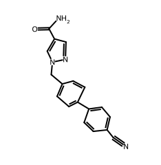 N#Cc1ccc(-c2ccc(Cn3cc(C(N)=O)cn3)cc2)cc1